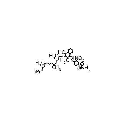 CC(=CCc1c(C)c(N=Nc2ccc(S(N)(=O)=O)cc2[N+](=O)[O-])c2ccccc2c1O)CCCC(C)CCCC(C)CCCC(C)C